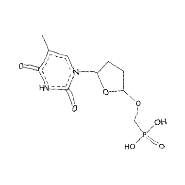 Cc1cn(C2CCC(OCP(=O)(O)O)O2)c(=O)[nH]c1=O